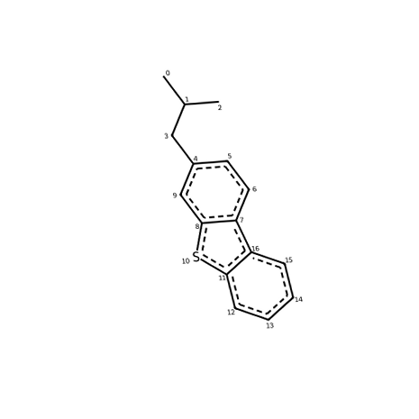 CC(C)Cc1ccc2c(c1)sc1ccccc12